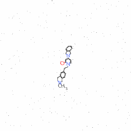 CN1CCc2cc(CCn3ccc(N4Cc5ccccc5C4)cc3=O)ccc2C1